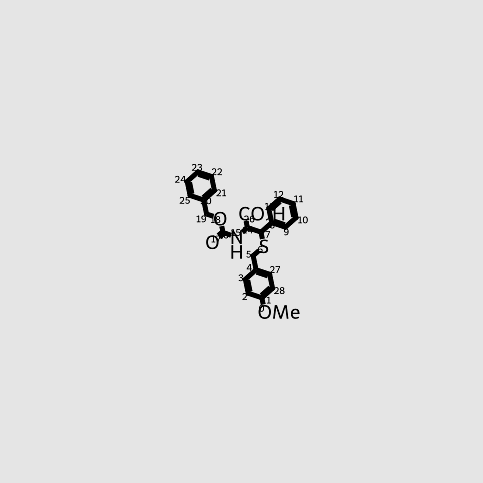 COc1ccc(CSC(c2ccccc2)C(NC(=O)OCc2ccccc2)C(=O)O)cc1